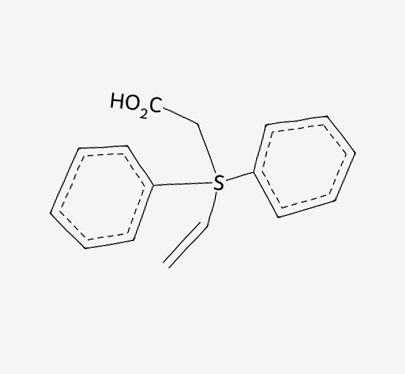 C=CS(CC(=O)O)(c1ccccc1)c1ccccc1